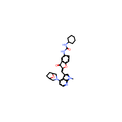 Cn1cc(C=C2Oc3ccc(NC(=O)NC4CCCCC4)cc3C2=O)c2c(N3CC4CCC(C3)O4)ccnc21